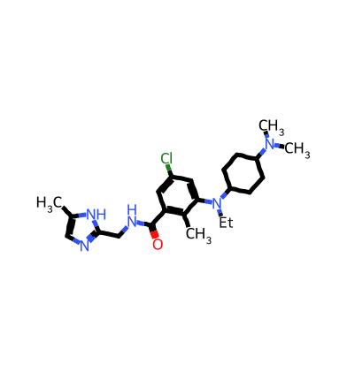 CCN(c1cc(Cl)cc(C(=O)NCc2ncc(C)[nH]2)c1C)C1CCC(N(C)C)CC1